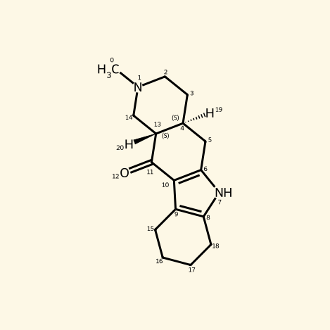 CN1CC[C@H]2Cc3[nH]c4c(c3C(=O)[C@@H]2C1)CCCC4